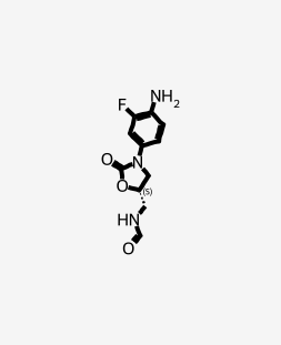 Nc1ccc(N2C[C@H](CNC=O)OC2=O)cc1F